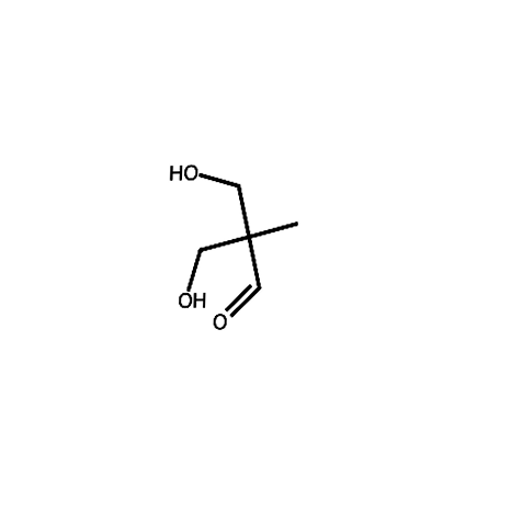 CC(C=O)(CO)CO